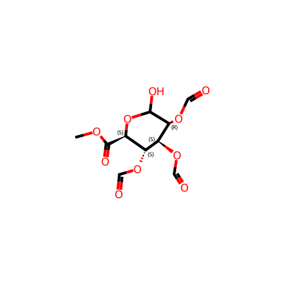 COC(=O)[C@H]1OC(O)[C@H](OC=O)[C@@H](OC=O)[C@@H]1OC=O